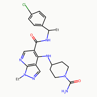 CCC(NC(=O)c1cnc2c(cnn2CC)c1NC1CCN(C(N)=O)CC1)c1ccc(Cl)cc1